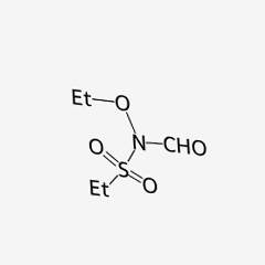 CCON(C=O)S(=O)(=O)CC